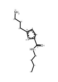 CCCCNC(=O)c1ccc(CCCN)s1